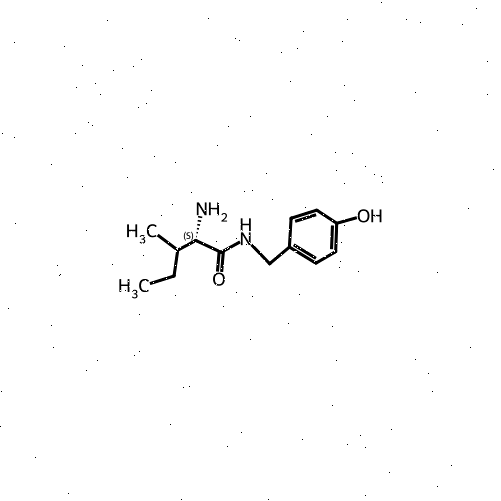 CCC(C)[C@H](N)C(=O)NCc1ccc(O)cc1